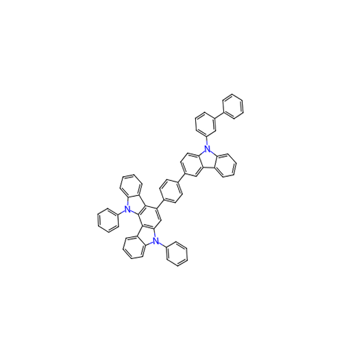 c1ccc(-c2cccc(-n3c4ccccc4c4cc(-c5ccc(-c6cc7c(c8ccccc8n7-c7ccccc7)c7c6c6ccccc6n7-c6ccccc6)cc5)ccc43)c2)cc1